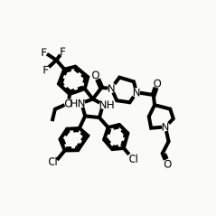 CCOc1cc(C(F)(F)F)ccc1C1(C(=O)N2CCN(C(=O)C3CCN(CC=O)CC3)CC2)NC(c2ccc(Cl)cc2)C(c2ccc(Cl)cc2)N1